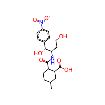 CC1CCC(C(=O)N[C@H](CCO)[C@H](O)c2ccc([N+](=O)[O-])cc2)C(C(=O)O)C1